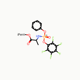 CCCC(C)OC(=O)C(C)N[P@](=O)(Oc1ccccc1)Oc1c(F)c(F)c(F)c(F)c1F